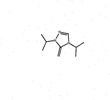 C=C1N(C(C)C)C=NN1C(C)C